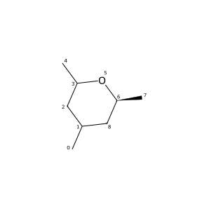 CC1CC(C)O[C@@H](C)C1